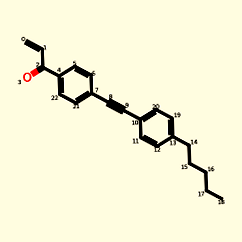 C=CC(=O)c1ccc(C#Cc2ccc(CCCCC)cc2)cc1